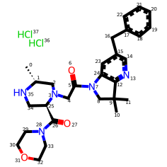 C[C@@H]1CN(CC(=O)N2CC(C)(C)c3ncc(Cc4ccccc4)cc32)[C@@H](C(=O)N2CCOCC2)CN1.Cl.Cl